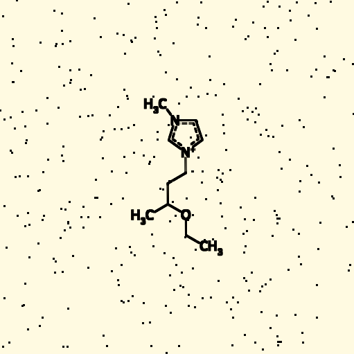 CCOC(C)CC[n+]1ccn(C)c1